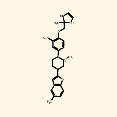 C[C@@H]1CC(c2cc3cc(C(F)(F)F)ccc3o2)CCN1c1ccc(OCC2(C)NC=CN2)c([N+](=O)[O-])c1